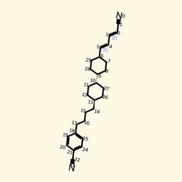 N#C/C=C/C=C/C1CCC([C@H]2CC[C@H](CCCCc3ccc(C#N)cc3)CC2)CC1